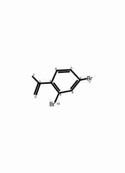 C=C(C)c1ccc(Br)cc1Br